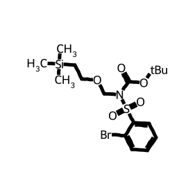 CC(C)(C)OC(=O)N(COCC[Si](C)(C)C)S(=O)(=O)c1ccccc1Br